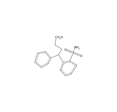 NS(=O)(=O)c1ccccc1C(CCC(=O)O)c1ccccc1